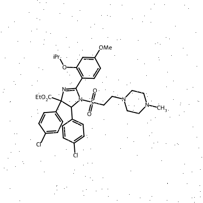 CCOC(=O)C1(c2ccc(Cl)cc2)N=C(c2ccc(OC)cc2OC(C)C)N(S(=O)(=O)CCN2CCN(C)CC2)C1c1ccc(Cl)cc1